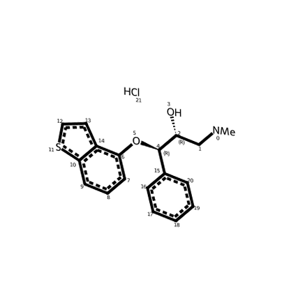 CNC[C@@H](O)[C@H](Oc1cccc2sccc12)c1ccccc1.Cl